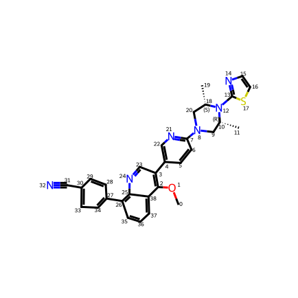 COc1c(-c2ccc(N3C[C@@H](C)N(c4nccs4)[C@@H](C)C3)nc2)cnc2c(-c3ccc(C#N)cc3)cccc12